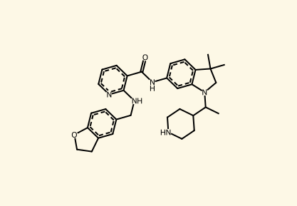 CC(C1CCNCC1)N1CC(C)(C)c2ccc(NC(=O)c3cccnc3NCc3ccc4c(c3)CCO4)cc21